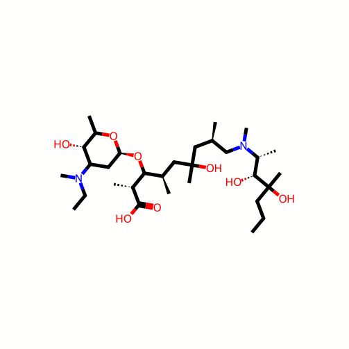 CCCC(C)(O)[C@H](O)[C@@H](C)N(C)C[C@H](C)CC(C)(O)C[C@@H](C)C(O[C@H]1CC(N(C)CC)[C@H](O)C(C)O1)[C@@H](C)C(=O)O